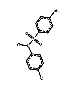 O=S(=O)(c1ccc(O)cc1)N(Cl)c1ccc(Cl)cc1